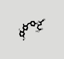 COc1ccc(F)c(-c2ccc(Cc3ccc(N4N=C(C#N)CC4CC(=O)O)cc3)c(C)c2)c1